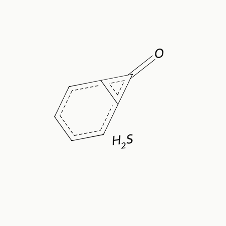 O=c1c2ccccc12.S